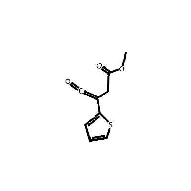 COC(=O)CC(=C=O)c1cccs1